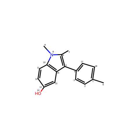 Cc1ccc(-c2c(C)n(C)c3ccc(O)cc23)cc1